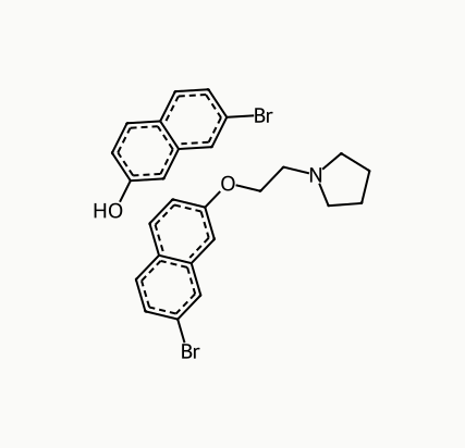 Brc1ccc2ccc(OCCN3CCCC3)cc2c1.Oc1ccc2ccc(Br)cc2c1